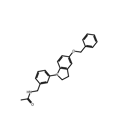 CC(=O)NCc1cccc(N2CCc3cc(OCc4ccccc4)ccc32)c1